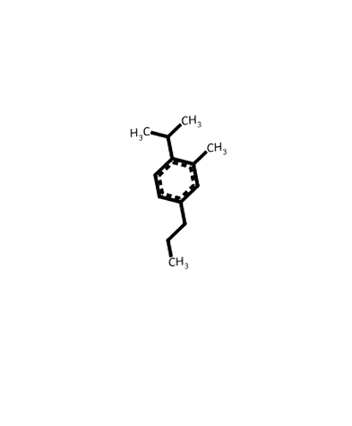 CCCc1ccc(C(C)C)c(C)c1